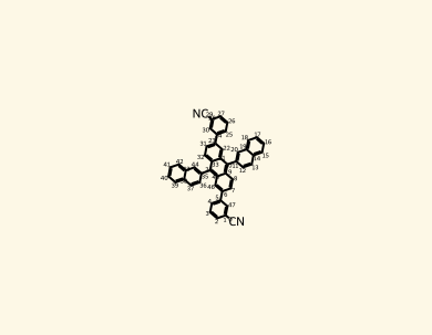 N#Cc1cccc(-c2ccc3c(-c4ccc5ccccc5c4)c4cc(-c5cccc(C#N)c5)ccc4c(-c4ccc5ccccc5c4)c3c2)c1